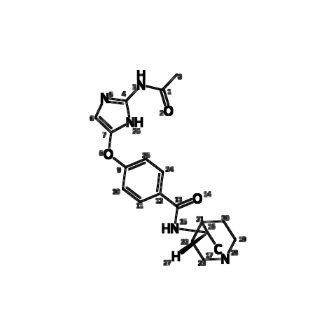 CC(=O)Nc1ncc(Oc2ccc(C(=O)N[C@H]3CN4CCC3CC4)cc2)[nH]1